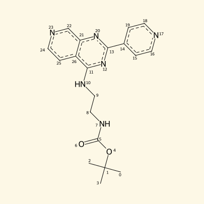 CC(C)(C)OC(=O)NCCNc1nc(-c2ccncc2)nc2cnccc12